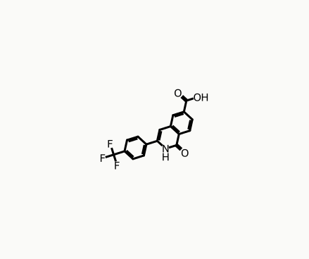 O=C(O)c1ccc2c(=O)[nH]c(-c3ccc(C(F)(F)F)cc3)cc2c1